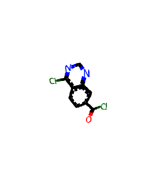 O=C(Cl)c1ccc2c(Cl)ncnc2c1